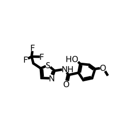 COc1ccc(C(=O)Nc2ncc(CC(F)(F)F)s2)c(O)c1